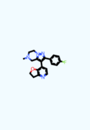 CN1CCn2nc(-c3ccc(F)cc3)c(-c3ccnc4c3OCC4)c2C1